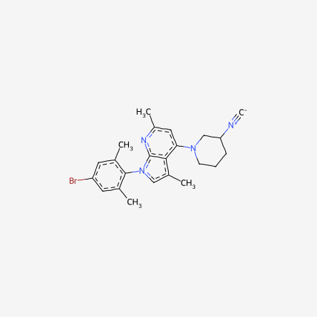 [C-]#[N+]C1CCCN(c2cc(C)nc3c2c(C)cn3-c2c(C)cc(Br)cc2C)C1